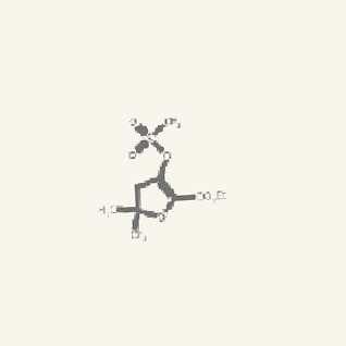 CCOC(=O)C1=C(OS(=O)(=O)C(F)(F)F)CC(C)(C(F)(F)F)O1